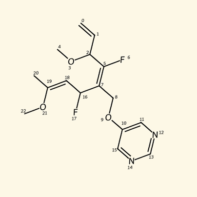 C=CC(OC)/C(F)=C(/COc1cncnc1)C(F)C=C(C)OC